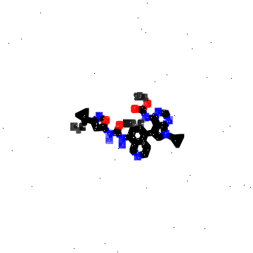 CC(C)(C)OC(=O)N(C(=O)O)c1ncnc2c1c(-c1ccc(NC(=O)Nc3cc(C4(C)CC4)no3)c3cnccc13)cn2C1CC1